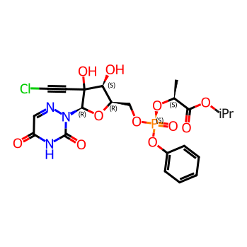 CC(C)OC(=O)[C@H](C)O[P@](=O)(OC[C@H]1O[C@@H](n2ncc(=O)[nH]c2=O)C(O)(C#CCl)[C@H]1O)Oc1ccccc1